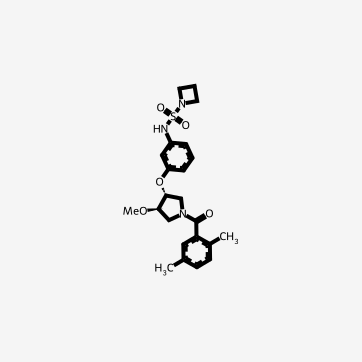 CO[C@@H]1CN(C(=O)c2cc(C)ccc2C)C[C@H]1Oc1cccc(NS(=O)(=O)N2CCC2)c1